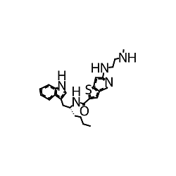 CCCC[C@H](Cc1c[nH]c2ccccc12)NC(=O)c1cc2cnc(NCCNC)cc2s1